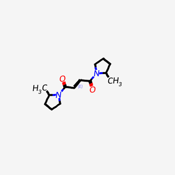 CC1CCCN1C(=O)/C=C/C(=O)N1CCCC1C